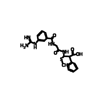 CSC(NC(=O)CNC(=O)c1cccc(NC(=N)N)c1)C(C(=O)O)c1ccccc1